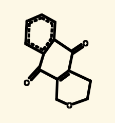 O=C1C2=C(COCC2)C(=O)c2ccccc21